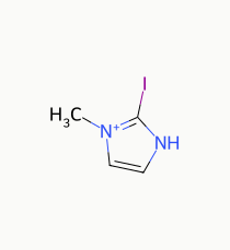 C[n+]1cc[nH]c1I